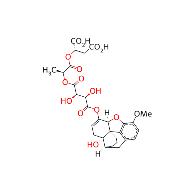 COc1ccc2c3c1O[C@@H]1C(OC(=O)[C@H](O)[C@@H](O)C(=O)O[C@@H](C)C(=O)O[C@@H](CC(=O)O)C(=O)O)=CC[C@]4(O)[C@@H](CCC[C@@]314)C2